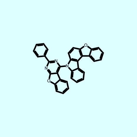 c1ccc(-c2nc(-n3c4ccccc4c4c5c(ccc43)oc3ccccc35)c3c(n2)oc2ccccc23)cc1